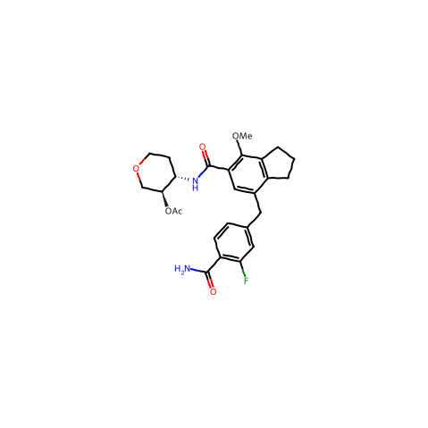 COc1c(C(=O)N[C@H]2CCOC[C@@H]2OC(C)=O)cc(Cc2ccc(C(N)=O)c(F)c2)c2c1CCC2